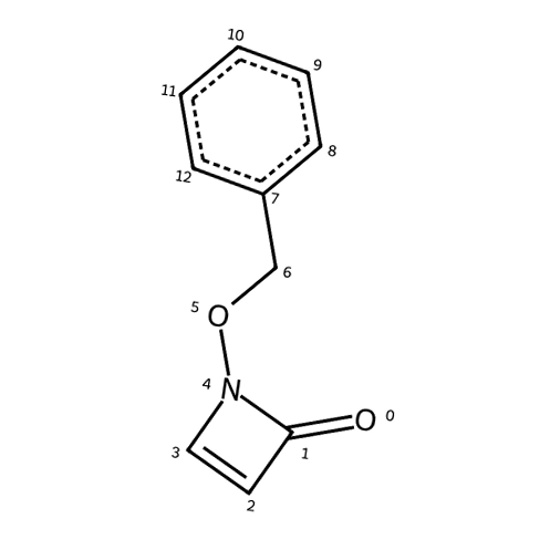 O=C1C=CN1OCc1ccccc1